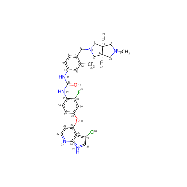 CN1C[C@@H]2CN(Cc3ccc(NC(=O)Nc4ccc(Oc5ccnc6[nH]cc(Cl)c56)cc4F)cc3C(F)(F)F)C[C@@H]2C1